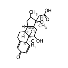 CC1C[C@H]2[C@@H]3CCC4=CC(=O)C=C[C@]4(C)[C@@]3(Cl)C(O)C[C@]2(C)[C@@]1(O)CC(=O)O